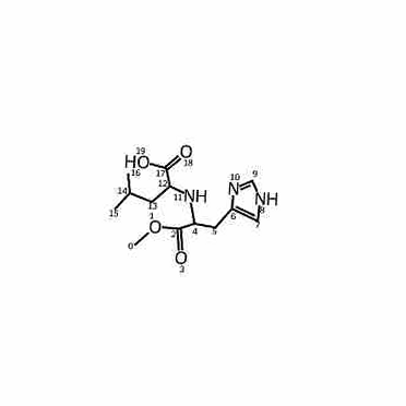 COC(=O)C(Cc1c[nH]cn1)NC(CC(C)C)C(=O)O